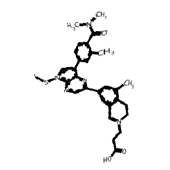 Cc1cc(-c2cn(SI)c3ncc(-c4cc(C)c5c(c4)CN(CCC(=O)O)CC5)nc23)ccc1C(=O)N(C)C